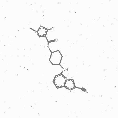 Cn1cc(C(=O)NC2CCC(Nc3cccc4nc(C#N)cn34)CC2)c(Cl)n1